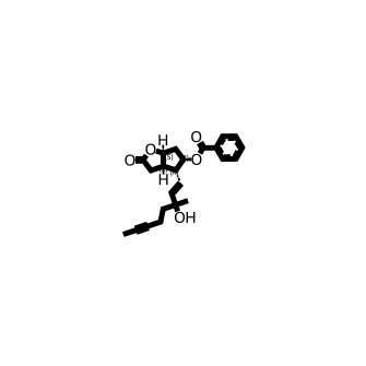 CC#CCCC(C)(O)C=C[C@@H]1[C@H]2CC(=O)O[C@H]2C[C@H]1OC(=O)c1ccccc1